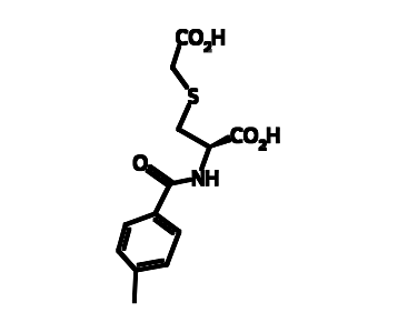 Cc1ccc(C(=O)N[C@@H](CSCC(=O)O)C(=O)O)cc1